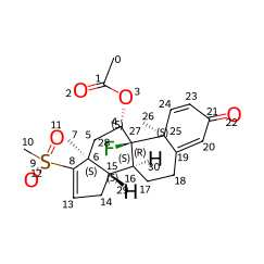 CC(=O)O[C@H]1C[C@]2(C)C(S(C)(=O)=O)=CC[C@H]2[C@@H]2CCC3=CC(=O)C=C[C@]3(C)[C@@]12F